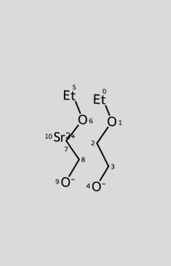 CCOCC[O-].CCOCC[O-].[Sr+2]